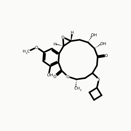 COc1cc(O)c2c(c1)[C@H]1O[C@@H]1C[C@H](O)[C@H](O)C(=O)CC(SC1CCC1)C[C@H](C)OC2=O